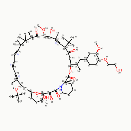 [2H]C([2H])([2H])O[C@H]1C[C@@H]2CC[C@@H](C)[C@@](O)(O2)C(=O)C(=O)N2CCCC[C@H]2C(=O)O[C@H]([C@H](C)C[C@@H]2CC[C@@H](OCCO)[C@H](OC)C2)CC(=O)[C@H](C([2H])([2H])[2H])/C=C(\C)[C@@H](O)[C@@H](OC)C(=O)[C@H](C)C([2H])(C)C(C)(C)/C=C/C=C/C=C/1C